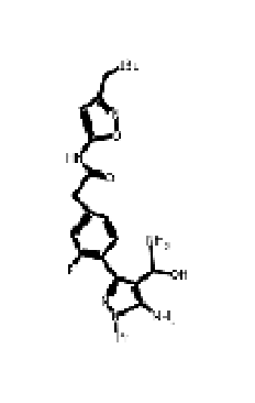 CC(C)n1nc(-c2ccc(CC(=O)Nc3cc(CC(C)(C)C)no3)cc2F)c(C(N)O)c1N